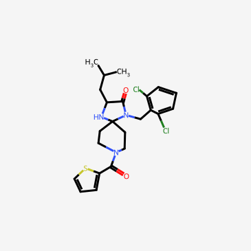 CC(C)CC1NC2(CCN(C(=O)c3cccs3)CC2)N(Cc2c(Cl)cccc2Cl)C1=O